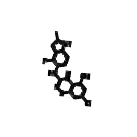 Cc1cc2c(F)c(NC3=NSc4cc(Cl)cc(O)c4N3)ccc2[nH]1